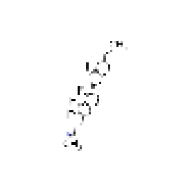 C/C=C/CCc1cc2ccc([C@@H]3CC[C@@H]4CC(CCC)CCC4C3)c(F)c2c(F)c1F